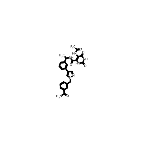 CC(NC(=O)c1[nH]c(=O)[nH]c(=O)c1NC(=O)C(F)(F)F)c1cccc(-c2cnn(Cc3cccc(C(N)=O)c3)c2)c1